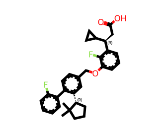 CC1(C)CCC[C@H]1c1cc(COc2cccc([C@H](CC(=O)O)C3CC3)c2F)ccc1-c1ccccc1F